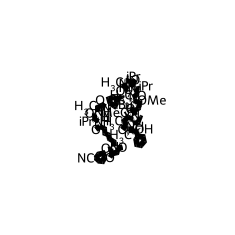 CC[C@@H](C)[C@@H]([C@@H](CC(=O)N1CCC[C@H]1[C@H](OC)[C@@H](C)C(=O)N[C@@H](C)[C@H](O)c1ccccc1)OC)N(C)C(=O)[C@@H](NC(=O)[C@H](C(C)C)N(C)C(=O)OCc1ccc(NC(=O)[C@@H](C)NC(=O)[C@H](NC(=O)CCCCCN2C(=O)C=C(Oc3ccc(C#N)cc3)C2=O)C(C)C)cc1)C(C)C